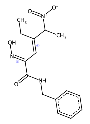 CC/C(=C\C(=N/O)C(=O)NCc1ccccc1)C(C)[N+](=O)[O-]